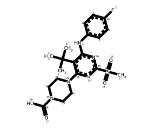 CC(C)(C)c1c(Nc2ccc(F)cc2)nc(S(C)(=O)=O)nc1N1CCN(C(=O)O)CC1